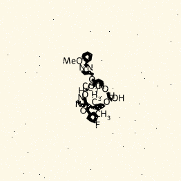 COc1ccccc1-c1nccc(COc2ccc3cc2C[C@H](C(=O)O)Oc2ncnc4oc(-c5ccc(F)cc5)c(c24)-c2c(C)cc(cc2C)O[C@H](CO)CO3)n1